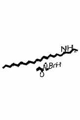 Br.C=CC(=O)N(C)C.CCCCCCCCCCCCCCCCCC(N)CCC